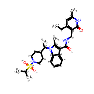 CCc1cc(C)[nH]c(=O)c1CNC(=O)c1c(C)n(C(C)C2CCN(S(=O)(=O)C(C)C)CC2)c2ccccc12